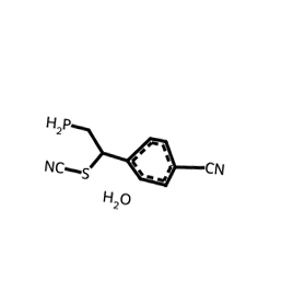 N#CSC(CP)c1ccc(C#N)cc1.O